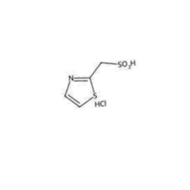 Cl.O=S(=O)(O)Cc1nccs1